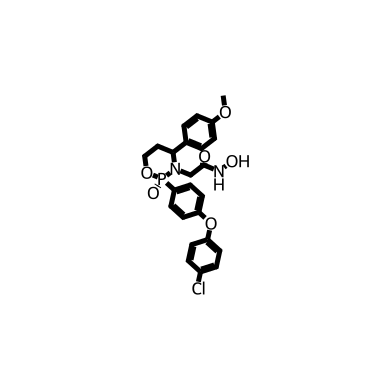 COc1ccc(C2CCOP(=O)(c3ccc(Oc4ccc(Cl)cc4)cc3)N2CC(=O)NO)cc1